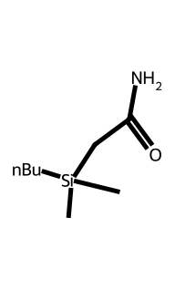 CCCC[Si](C)(C)CC(N)=O